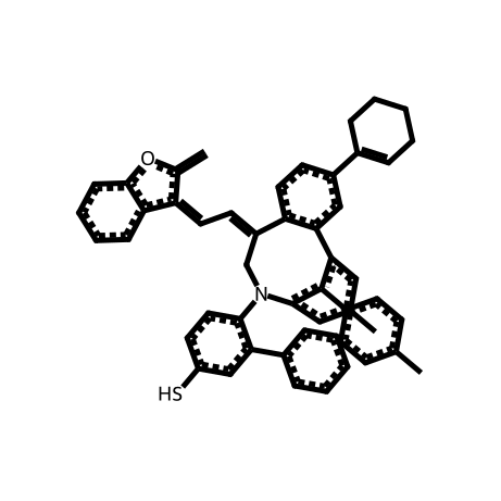 C=c1oc2ccccc2/c1=C/C=C1\CN(c2ccc(S)cc2-c2ccccc2)c2cc(C)cc(c2-c2ccc(C)cc2)-c2cc(C3=CCCCC3)ccc21